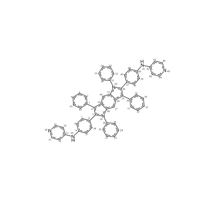 c1ccc(-c2c(-c3ccc(Nc4ccncc4)cc3)n(-c3ccccc3)c3cc4c(-c5ccccc5)c(-c5ccc(Nc6ccncc6)cc5)n(-c5ccccc5)c4cc23)cc1